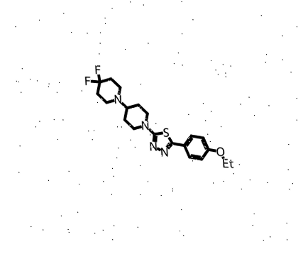 CCOc1ccc(-c2nnc(N3CCC(N4CCC(F)(F)CC4)CC3)s2)cc1